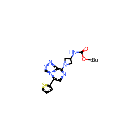 CC(C)(C)OC(=O)NC1CN(c2ncc(-c3cccs3)n3cnnc23)C1